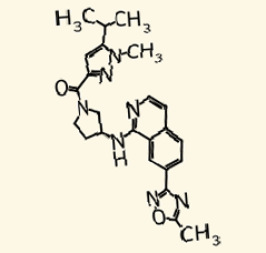 Cc1nc(-c2ccc3ccnc(N[C@H]4CCN(C(=O)c5cc(C(C)C)n(C)n5)C4)c3c2)no1